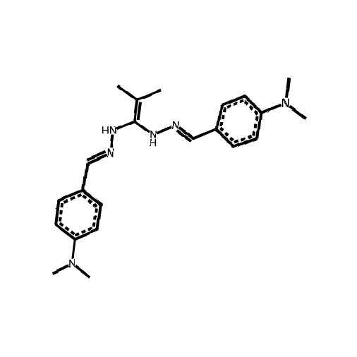 CC(C)=C(N/N=C/c1ccc(N(C)C)cc1)N/N=C/c1ccc(N(C)C)cc1